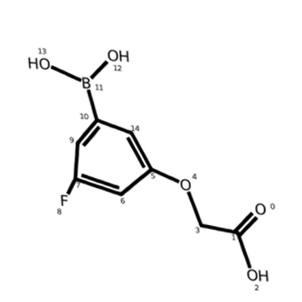 O=C(O)COc1cc(F)cc(B(O)O)c1